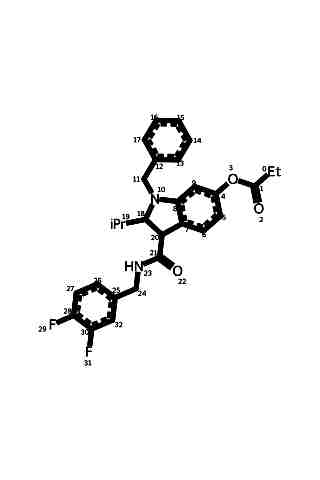 CCC(=O)Oc1ccc2c(c1)N(Cc1ccccc1)C(C(C)C)C2C(=O)NCc1ccc(F)c(F)c1